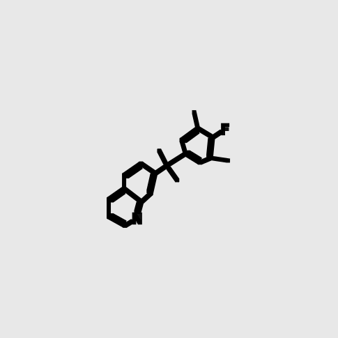 Cc1cc(C(C)(C)c2ccc3cccnc3c2)cc(C)c1F